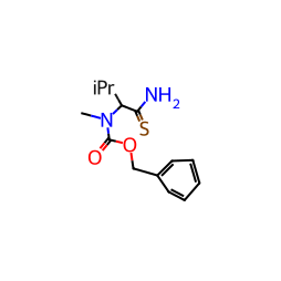 CC(C)C(C(N)=S)N(C)C(=O)OCc1ccccc1